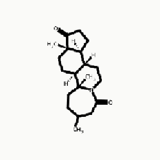 CC1CC[C@]2(C)[C@H]3CC[C@]4(C)C(=O)CC[C@H]4[C@@H]3CCN2C(=O)C1